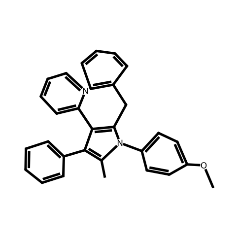 COc1ccc(-n2c(C)c(-c3ccccc3)c(-c3ccccn3)c2Cc2ccccc2)cc1